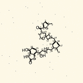 Cc1ccc(C(=O)N2CCOC3(CN(CC4=CC(CCNC[C@H](O)c5ccc(O)c6[nH]c(=O)sc56)C(C)C=C4)C3)C2)s1